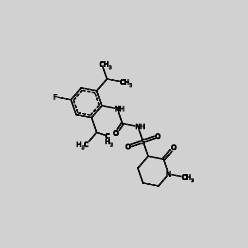 CC(C)c1cc(F)cc(C(C)C)c1NC(=O)NS(=O)(=O)C1CCCN(C)C1=O